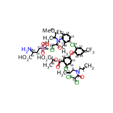 C=CCN(CC=C)C(=O)C(Cl)Cl.CCc1cccc(C)c1N(C(=O)CCl)C(C)COC.CP(=O)(O)CCC(N)C(=O)O.C[C@H](OC(=O)c1cc(Oc2ccc(C(F)(F)F)cc2Cl)ccc1Cl)C(=O)O